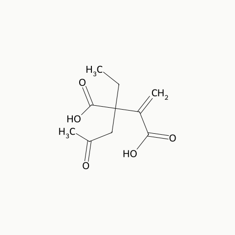 C=C(C(=O)O)C(CC)(CC(C)=O)C(=O)O